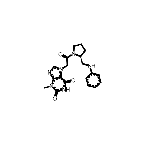 Cn1c(=O)[nH]c(=O)c2c1ncn2CC(=O)N1CCC[C@H]1CNc1ccccc1